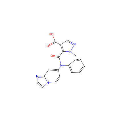 Cn1ncc(C(=O)O)c1C(=O)N(c1ccccc1)c1ccn2ccnc2c1